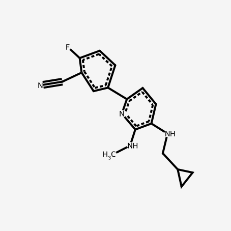 CNc1nc(-c2ccc(F)c(C#N)c2)ccc1NCC1CC1